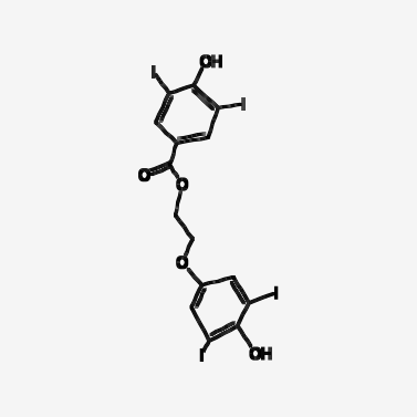 O=C(OCCOc1cc(I)c(O)c(I)c1)c1cc(I)c(O)c(I)c1